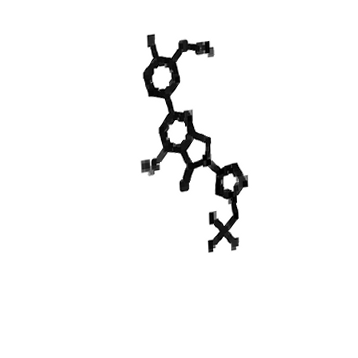 COc1cc(-c2cc(C)c3c(n2)CN(c2cnn(CC(F)(F)F)c2)C3=O)ccc1F